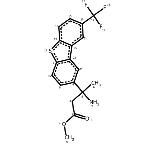 COC(=O)CC(C)(N)c1ccc2sc3ccc(C(F)(F)F)cc3c2c1